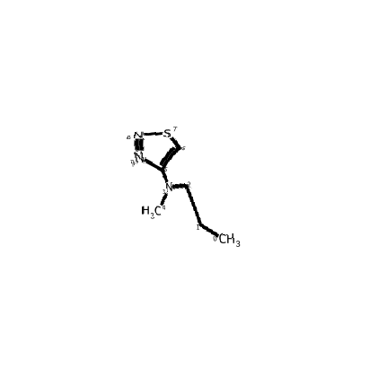 CCCN(C)c1csnn1